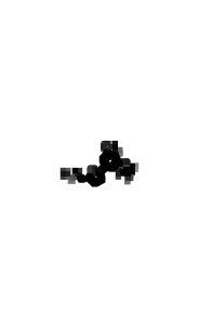 Cc1cc(OC(F)(F)F)cc(C2CC[C@@H](CN)O2)c1